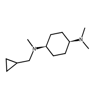 CN(C)[C@H]1CC[C@@H](N(C)CC2CC2)CC1